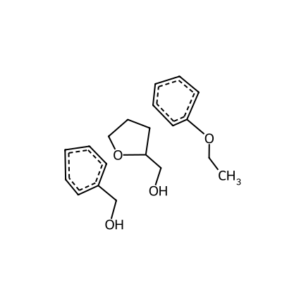 CCOc1ccccc1.OCC1CCCO1.OCc1ccccc1